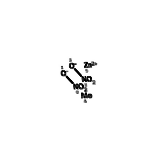 O=[N+]([O-])[O-].O=[N+]([O-])[O-].[Mo].[Zn+2]